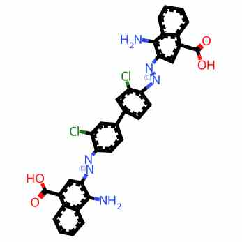 Nc1c(/N=N/c2ccc(-c3ccc(/N=N/c4cc(C(=O)O)c5ccccc5c4N)c(Cl)c3)cc2Cl)cc(C(=O)O)c2ccccc12